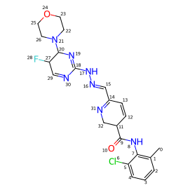 Cc1cccc(Cl)c1NC(=O)C1C=CC(/C=N/NC2=NC(N3CCOCC3)C(F)C=N2)=NC1